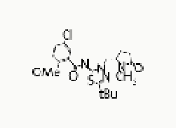 COc1ccc(Cl)cc1C(=O)/N=c1\sc(C(C)(C)C)nn1C[C@@H]1CCC(=O)N1C